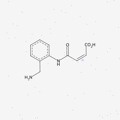 NCc1ccccc1NC(=O)/C=C\C(=O)O